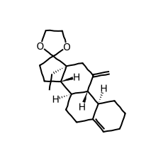 C=C1C[C@@]2(CC)[C@@H](CCC23OCCO3)[C@@H]2CCC3=CCCC[C@@H]3[C@@H]12